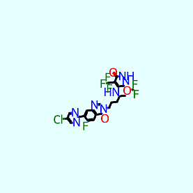 O=c1[nH]ncc(NC(CCCn2cnc3cc(-c4ncc(Cl)cn4)c(F)cc3c2=O)COC(F)F)c1C(F)(F)F